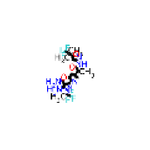 CC(C(=O)Nc1cc(C(C)(C)C(F)(F)F)on1)c1ccc(-c2nn(C(C)C(F)(F)F)c(N)c2C(N)=O)nc1